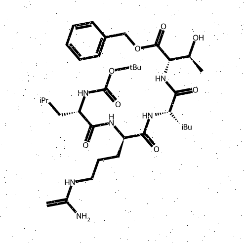 C=C(N)NCCC[C@@H](NC(=O)[C@H](CC(C)C)NC(=O)OC(C)(C)C)C(=O)N[C@H](C(=O)N[C@H](C(=O)OCc1ccccc1)[C@H](C)O)[C@@H](C)CC